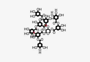 O=C(Oc1cc(C(=O)O[C@@H]2OC[C@@H](OC(=O)c3cc(O)c(O)c(OC(=O)c4cc(O)c(O)c(O)c4)c3)[C@H](OC(=O)c3cc(O)c(O)c(OC(=O)c4cc(O)c(O)c(O)c4)c3)[C@H]2OC(=O)c2cc(O)c(O)c(OC(=O)c3cc(O)c(O)c(O)c3)c2)cc(O)c1O)c1cc(O)c(O)c(O)c1